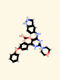 O=C(O)Oc1c(Nc2ccc3[nH]ncc3c2)nc(N2CCOCC2)nc1-c1ccc(Oc2ccccc2)cc1